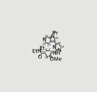 CCN(CC)C(=O)c1ccc(Nc2nccc(-c3cn(C(C)C)c4cnccc34)n2)c(OC)c1